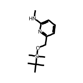 CNc1cccc(CO[Si](C)(C)C(C)(C)C)n1